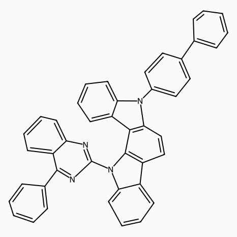 c1ccc(-c2ccc(-n3c4ccccc4c4c3ccc3c5ccccc5n(-c5nc(-c6ccccc6)c6ccccc6n5)c34)cc2)cc1